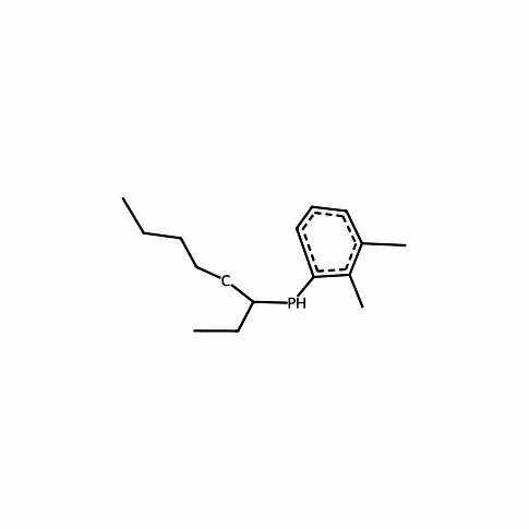 CCCCCC(CC)Pc1cccc(C)c1C